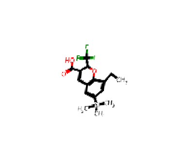 CCc1cc([Si](C)(C)C)cc2c1OC(C(F)(F)F)C(C(=O)O)=C2